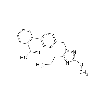 CCCc1nc(OC)nn1Cc1ccc(-c2ccccc2C(=O)O)cc1